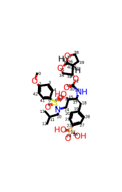 COc1ccc(S(=O)(=O)N(CC(C)C)C[C@@H](O)[C@H](Cc2ccc(P(=O)(O)O)cc2)NC(=O)O[C@H]2CO[C@H]3OCC[C@H]32)cc1